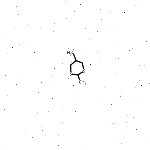 CC1CSC(C)SC1